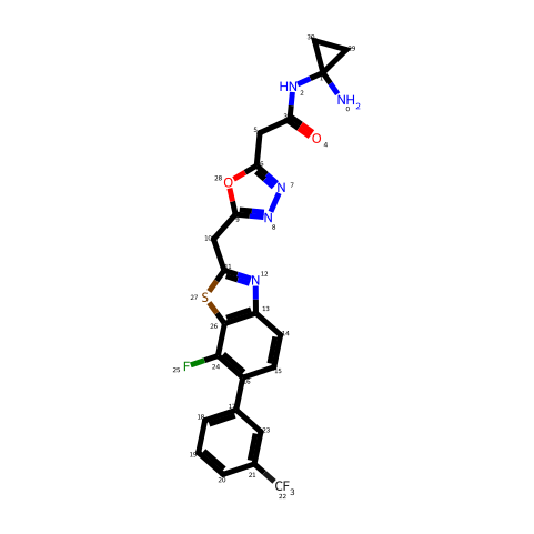 NC1(NC(=O)Cc2nnc(Cc3nc4ccc(-c5cccc(C(F)(F)F)c5)c(F)c4s3)o2)CC1